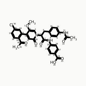 COc1cn(C(Cc2ccc(NC(C)=O)cc2)C(=O)Nc2ccc(C(=O)O)cc2)c(=O)cc1-c1cc(Cl)ccc1C(C)=O